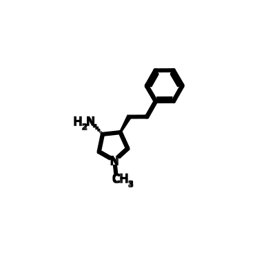 CN1C[C@H](CCc2ccccc2)[C@@H](N)C1